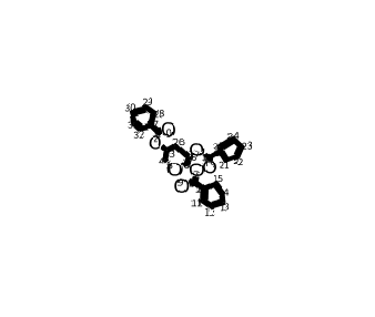 O=C(OC1COC(OC(=O)c2ccccc2)C(OC(=O)c2ccccc2)C1)c1ccccc1